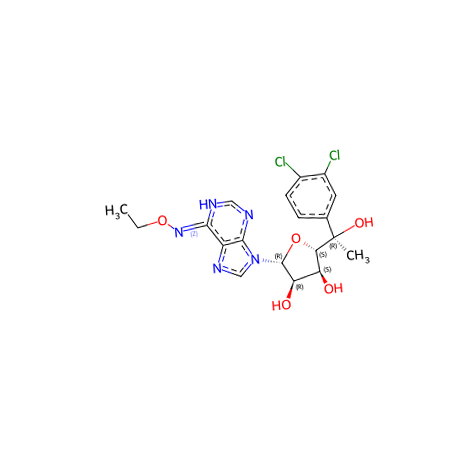 CCO/N=c1\[nH]cnc2c1ncn2[C@@H]1O[C@H]([C@](C)(O)c2ccc(Cl)c(Cl)c2)[C@@H](O)[C@H]1O